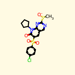 C[S+]([O-])c1ncc2cc(S(=O)(=O)c3ccc(Cl)cc3)c(=O)n(C3CCCC3)c2n1